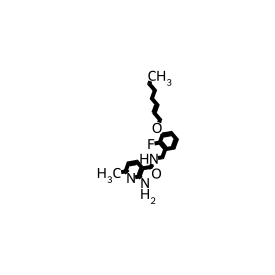 CCCC/C=C/COc1cccc(CNC(=O)c2ccc(C)nc2N)c1F